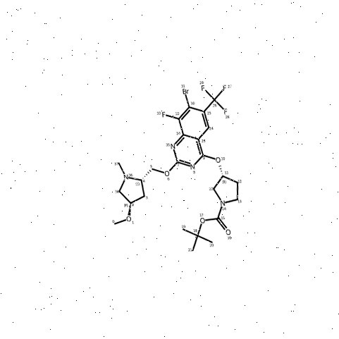 CO[C@@H]1C[C@@H](COc2nc(O[C@@H]3CCN(C(=O)OC(C)(C)C)C3)c3cc(C(F)(F)F)c(Br)c(F)c3n2)N(C)C1